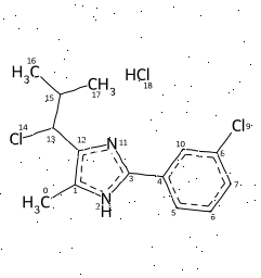 Cc1[nH]c(-c2cccc(Cl)c2)nc1C(Cl)C(C)C.Cl